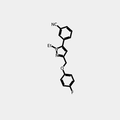 CCn1nc(COc2ccc(F)cc2)cc1-c1cccc(C#N)c1